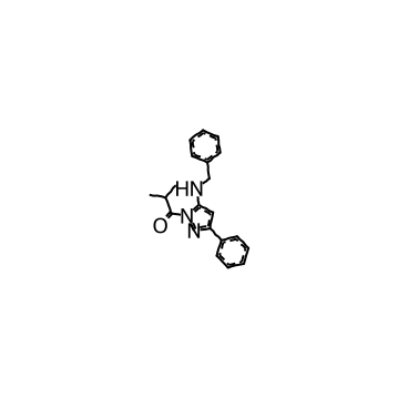 CC(C)C(=O)n1nc(-c2ccccc2)cc1NCc1ccccc1